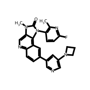 Cc1nc(F)ccc1-n1c(=O)n(C)c2cnc3ccc(-c4cncc(N5CCC5)c4)cc3c21